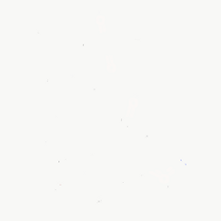 CS(=O)(=O)c1ccccc1Cc1ccc(Br)cc1C(=O)c1cnoc1C1CC1